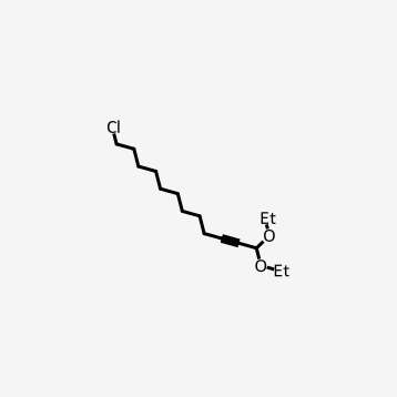 CCOC(C#CCCCCCCCCCCl)OCC